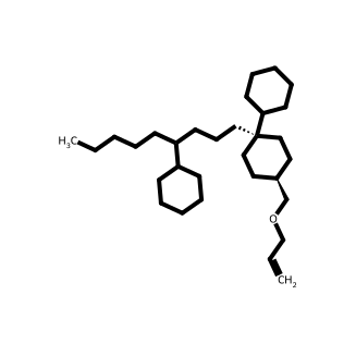 C=CCOC[C@H]1CC[C@@](CCCC(CCCCC)C2CCCCC2)(C2CCCCC2)CC1